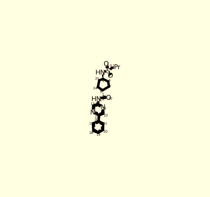 CC(C)S(=O)(=O)N[C@H]1CC[C@H](C(=O)Nc2cnc(-c3ccccc3)cn2)CC1